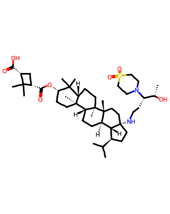 CC(C)[C@@H]1CC[C@]2(NCC[C@@H]([C@H](C)O)N3CCS(=O)(=O)CC3)CC[C@]3(C)[C@H](CC[C@@H]4[C@@]5(C)CC[C@H](OC(=O)[C@H]6C[C@@H](C(=O)O)C6(C)C)C(C)(C)[C@@H]5CC[C@]43C)[C@@H]12